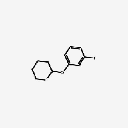 Fc1[c]c(OC2CCCCO2)ccc1